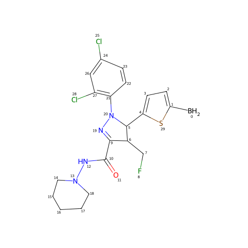 Bc1ccc(C2C(CF)C(C(=O)NN3CCCCC3)=NN2c2ccc(Cl)cc2Cl)s1